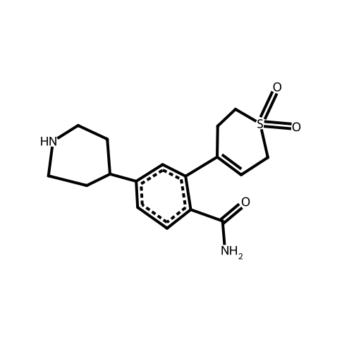 NC(=O)c1ccc(C2CCNCC2)cc1C1=CCS(=O)(=O)CC1